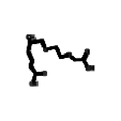 CC(CCCC(=O)O)COCCOCC(=O)O